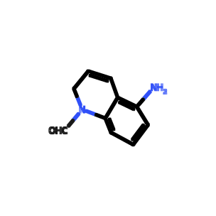 Nc1cccc2c1C=CCN2C=O